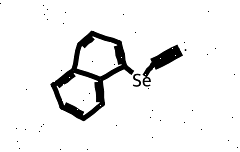 [C]#C[Se]c1cccc2ccccc12